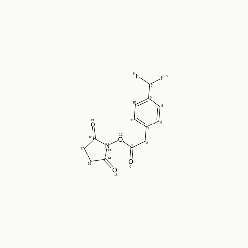 O=C(Cc1ccc(C(F)F)cc1)ON1C(=O)CCC1=O